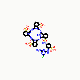 Nc1nc(Cl)nc(NC2=CC(NS(=O)(=O)c3cccc4c5nc6nc(nc7[nH]c(nc8nc(nc([nH]5)c34)-c3cccc(S(=O)(=O)O)c3-8)c3cccc(S(=O)(=O)O)c73)-c3cccc(S(=O)(=O)O)c3-6)=CCC2S(=O)(=O)O)n1